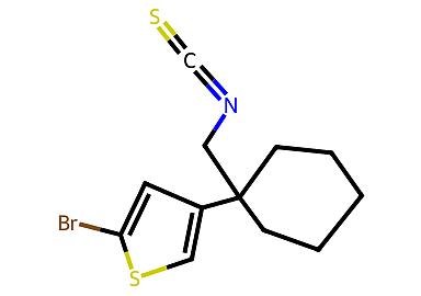 S=C=NCC1(c2csc(Br)c2)CCCCC1